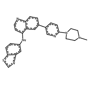 CN1CCN(c2ccc(-c3ccc4nccc(Nc5ccc6scnc6c5)c4c3)cn2)CC1